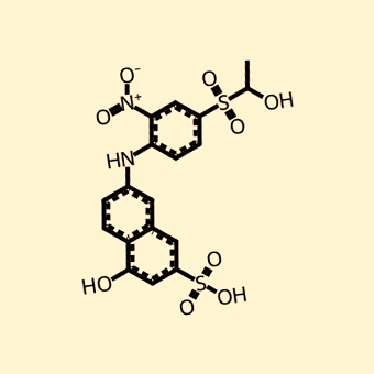 CC(O)S(=O)(=O)c1ccc(Nc2ccc3c(O)cc(S(=O)(=O)O)cc3c2)c([N+](=O)[O-])c1